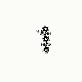 Nc1ccccc1NC(=O)c1ccc(C(=O)NC2CN3CCC2C3)cn1